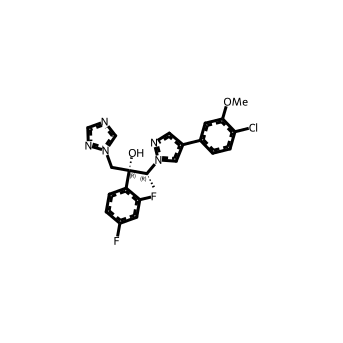 COc1cc(-c2cnn([C@H](C)[C@](O)(Cn3cncn3)c3ccc(F)cc3F)c2)ccc1Cl